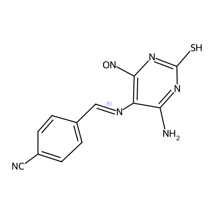 N#Cc1ccc(/C=N/c2c(N)nc(S)nc2N=O)cc1